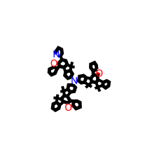 CC1(C)c2cc(N(c3ccc4c(c3)C(C)(C)c3c5c(c6oc7ccccc7c6c3-4)-c3ccccc3C5(C)C)c3ccc4c(c3)C(C)(C)c3c5c(c6oc7ccccc7c6c3-4)-c3ccccc3C5(C)C)ccc2-c2c1cc(-c1ccccn1)c1oc3ccccc3c21